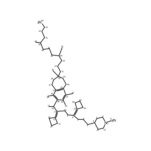 CCCN1CCC(CCCC(CCC(=C2CCC2)C(C)c2c(C)c(C)c3c(c2C)CCC(C)(CCCC(C)CCCC(C)CCCC(C)C)CC3)=C2CCC2)CC1